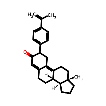 C=C(C)c1ccc(C2CC3=C4CC[C@]5(C)CCC[C@H]5[C@@H]4CCC3=CC2=O)cc1